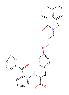 C/C=C/C(=O)N(CCCOc1ccc(C[C@H](Nc2ccccc2C(=O)c2ccccc2)C(=O)O)cc1)Cc1cccc(C)c1